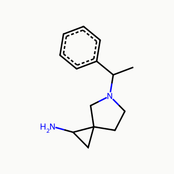 CC(c1ccccc1)N1CCC2(CC2N)C1